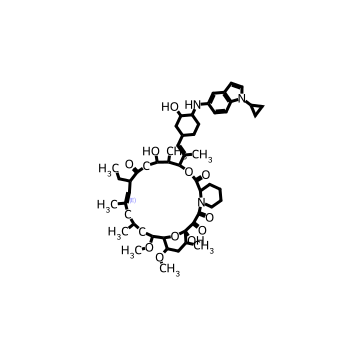 CCC1/C=C(\C)CC(C)CC(OC)C2OC(O)(C(=O)C(=O)N3CCCCC3C(=O)OC(C(C)=CC3CCC(Nc4ccc5c(ccn5C5CC5)c4)C(O)C3)C(C)C(O)CC1=O)C(C)CC2OC